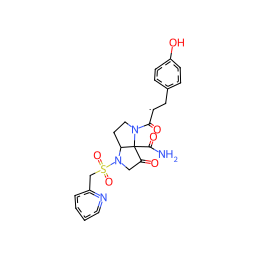 NC(=O)C12C(=O)CN(S(=O)(=O)Cc3ccccn3)C1CCN2C(=O)[CH]Cc1ccc(O)cc1